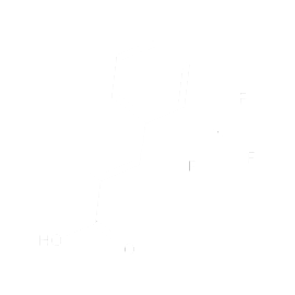 C/C(=C\c1ccccc1C(F)(F)F)C(=O)O